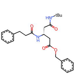 CC(C)(C)NC(=O)C[C@H](CC(=O)OCc1ccccc1)NC(=O)CCc1ccccc1